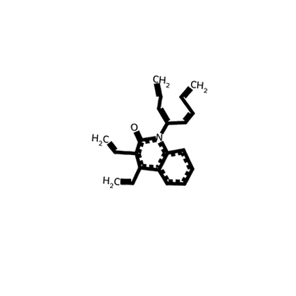 C=C/C=C\C(=C/C=C)n1c(=O)c(C=C)c(C=C)c2ccccc21